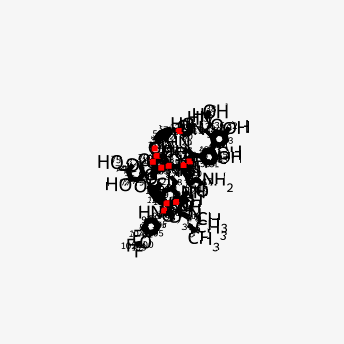 CN[C@H](CC(C)C)C(=O)N[C@H]1C(=O)N[C@@H](CC(N)=O)C(=O)N[C@H]2C(=O)N[C@H]3C(=O)N[C@H](C(=O)N[C@@H](C(=O)NO)c4cc(O)cc(O)c4-c4cc3ccc4O)[C@H](O)c3ccc(c(Cl)c3)Oc3cc2cc(c3O[C@@H]2O[C@H](CO)[C@@H](O)[C@H](O)[C@H]2OC2C[C@](C)(NCCC3CCN(C(=O)Nc4ccc(OC(F)(F)F)cc4)CC3)[C@H](O)[C@H](C)O2)Oc2ccc(cc2Cl)[C@H]1O